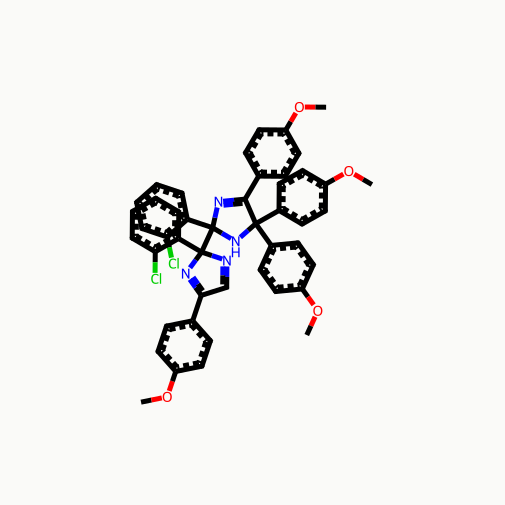 COc1ccc(C2=NC(c3ccccc3Cl)(C3(c4ccccc4Cl)N=C(c4ccc(OC)cc4)C(c4ccc(OC)cc4)(c4ccc(OC)cc4)N3)N=C2)cc1